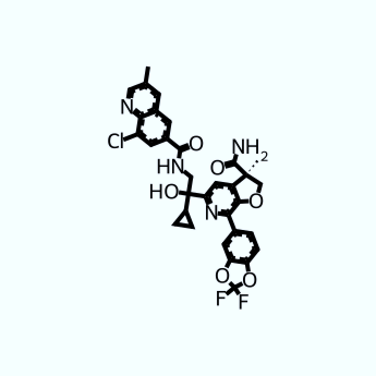 Cc1cnc2c(Cl)cc(C(=O)NCC(O)(c3cc4c(c(-c5ccc6c(c5)OC(F)(F)O6)n3)OC[C@]4(C)C(N)=O)C3CC3)cc2c1